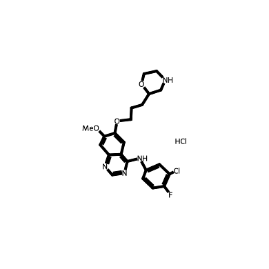 COc1cc2ncnc(Nc3ccc(F)c(Cl)c3)c2cc1OCCCC1CNCCO1.Cl